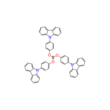 c1ccc2c(c1)c1ccccc1n2-c1ccc(OB(Oc2ccc(-n3c4ccccc4c4ccccc43)cc2)Oc2ccc(-n3c4ccccc4c4ccccc43)cc2)cc1